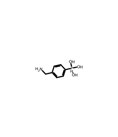 NCc1ccc([PH](O)(O)O)cc1